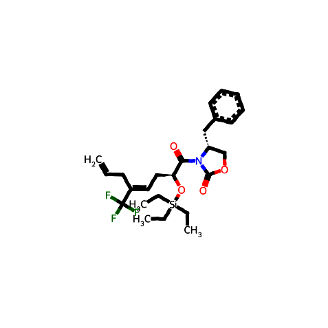 C=CC/C(=C\C[C@H](O[Si](CC)(CC)CC)C(=O)N1C(=O)OC[C@H]1Cc1ccccc1)C(F)(F)F